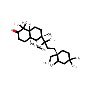 CC(=O)C[C@@H]1[C@@]2(C)CCC(=O)C(C)(C)[C@@H]2CC[C@@]1(C)C(C)(C)CC[C@@]1(CC(=O)O)CCC(C)(C)CC1C